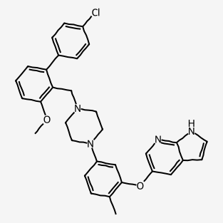 COc1cccc(-c2ccc(Cl)cc2)c1CN1CCN(c2ccc(C)c(Oc3cnc4[nH]ccc4c3)c2)CC1